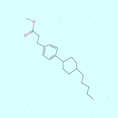 CCCCCC1CCC(c2ccc(CCC(=O)OC)cc2)CC1